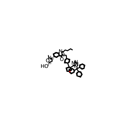 CCCCc1nc2ccc([C@@H]3C[C@H](CO)ON3C)cc2c(=O)n1Cc1ccc(-c2ccccc2-c2nnnn2C(c2ccccc2)(c2ccccc2)c2ccccc2)cc1